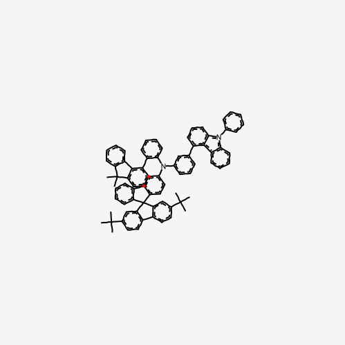 CC(C)(C)c1ccc2c(c1)C1(c3ccccc3-c3cc(N(c4cccc(-c5cccc6c5c5ccccc5n6-c5ccccc5)c4)c4ccccc4-c4cccc5c4-c4ccccc4C5(C)C)ccc31)c1cc(C(C)(C)C)ccc1-2